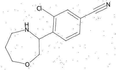 N#Cc1ccc(C2COCCCN2)c(Cl)c1